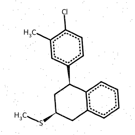 CS[C@@H]1Cc2ccccc2[C@H](c2ccc(Cl)c(C)c2)C1